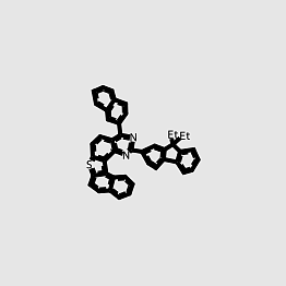 CCC1(CC)c2ccccc2-c2ccc(-c3nc(-c4ccc5ccccc5c4)c4ccc5sc6ccc7ccccc7c6c5c4n3)cc21